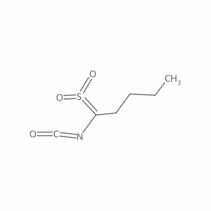 CCCCC(N=C=O)=S(=O)=O